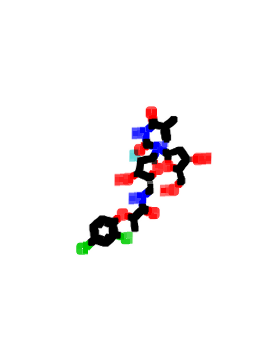 CC1=C[N@@+]([C@@H]2O[C@H](CNC(=O)C(C)Oc3ccc(Cl)cc3Cl)[C@@H](O)[C@@H]2F)([C@H]2C[C@H](O)[C@@H](CO)O2)C(=O)NC1=O